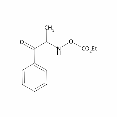 CCOC(=O)ONC(C)C(=O)c1ccccc1